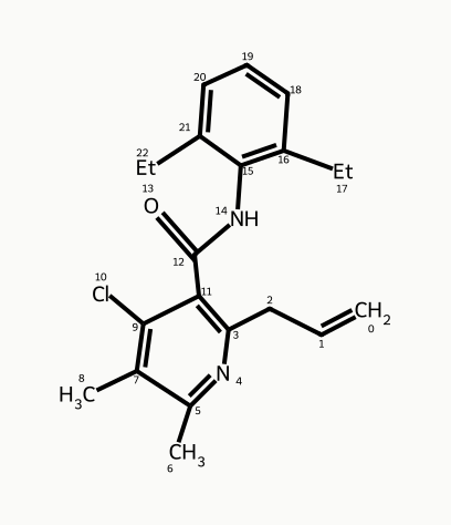 C=CCc1nc(C)c(C)c(Cl)c1C(=O)Nc1c(CC)cccc1CC